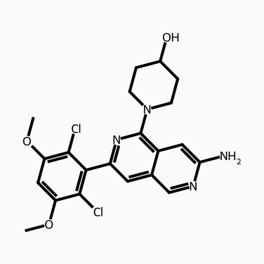 COc1cc(OC)c(Cl)c(-c2cc3cnc(N)cc3c(N3CCC(O)CC3)n2)c1Cl